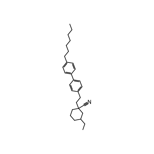 CCCCCCCc1ccc(-c2ccc(CCC3(C#N)CCCC(CC)C3)cc2)cc1